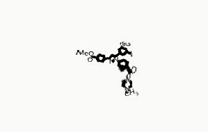 COC(=O)c1ccc(-c2cc(-c3cc(I)cc(C(C)(C)C)c3)n(-c3ccc(C(=O)N4CCN(C)CC4)cc3)n2)cc1